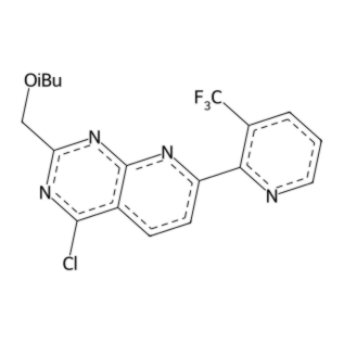 CC(C)COCc1nc(Cl)c2ccc(-c3ncccc3C(F)(F)F)nc2n1